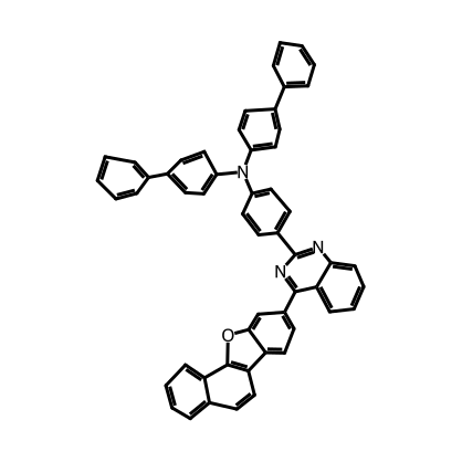 c1ccc(-c2ccc(N(c3ccc(-c4ccccc4)cc3)c3ccc(-c4nc(-c5ccc6c(c5)oc5c7ccccc7ccc65)c5ccccc5n4)cc3)cc2)cc1